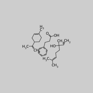 C=C(C)C1CC=C(C)CC1.C=CC(C)(O)CCC=C(C)C.O=C(O)CCc1ccccc1